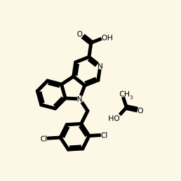 CC(=O)O.O=C(O)c1cc2c3ccccc3n(Cc3cc(Cl)ccc3Cl)c2cn1